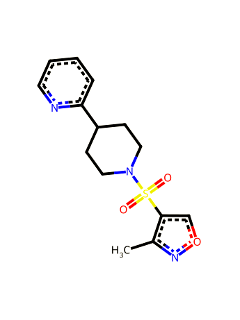 Cc1nocc1S(=O)(=O)N1CCC(c2ccccn2)CC1